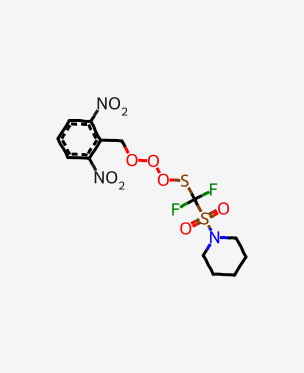 O=[N+]([O-])c1cccc([N+](=O)[O-])c1COOOSC(F)(F)S(=O)(=O)N1CCCCC1